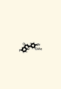 COc1cc(-c2cc(=O)c3cc(F)ccc3o2)ccc1C(C)C